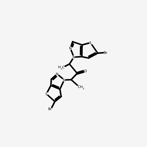 CC(C(=O)C(C)n1ncc2sc(Br)cc21)n1ncc2sc(Br)cc21